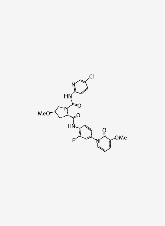 COc1cccn(-c2ccc(NC(=O)[C@H]3C[C@@H](OC)CN3C(=O)Nc3ccc(Cl)cn3)c(F)c2)c1=O